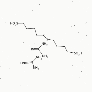 N=C(N)N.N=C(N)N.O=S(=O)(O)CCCCSSCCCCS(=O)(=O)O